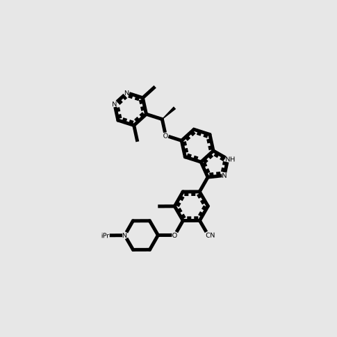 Cc1cc(-c2n[nH]c3ccc(O[C@H](C)c4c(C)cnnc4C)cc23)cc(C#N)c1OC1CCN(C(C)C)CC1